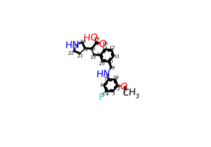 COc1cc(F)cc(NCc2cccc(C[C@H](C(=O)O)[C@H]3CCNC3)c2)c1